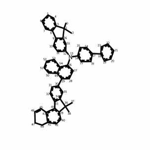 CC1(C)c2ccccc2-c2ccc(N(c3ccc(-c4ccccc4)cc3)c3ccc(-c4ccc5c(c4)C(C)(C)c4ccc6c(c4-5)C=CCC6)c4ccccc34)cc21